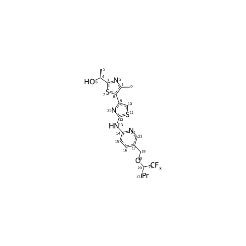 Cc1nc([C@H](C)O)sc1-c1csc(Nc2ccc(COC(C(C)C)C(F)(F)F)cn2)n1